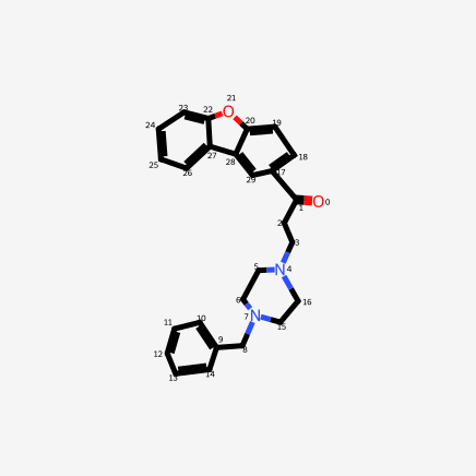 O=C(CCN1CCN(Cc2ccccc2)CC1)c1ccc2oc3ccccc3c2c1